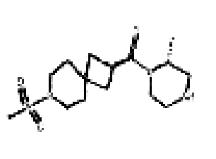 C[C@@H]1CNCCN1C(=O)C1CC2(CCN(S(C)(=O)=O)CC2)C1